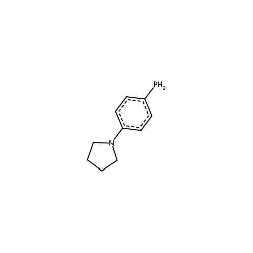 Pc1ccc(N2CCCC2)cc1